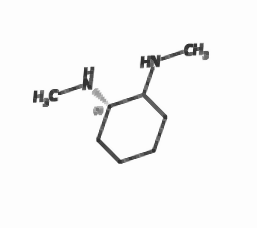 CNC1CCCC[C@@H]1NC